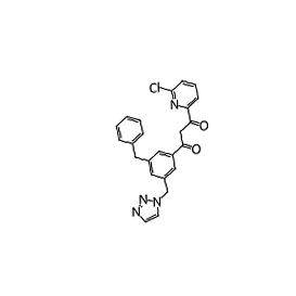 O=C(CC(=O)c1cccc(Cl)n1)c1cc(Cc2ccccc2)cc(Cn2ccnn2)c1